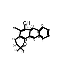 Cc1c2c(c3cc4ccccc4cc3c1O)OC(C)(C)CC2